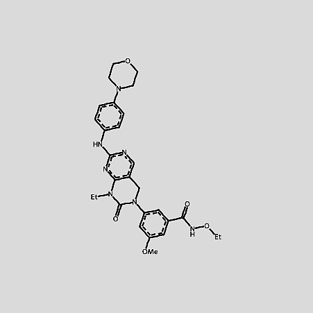 CCONC(=O)c1cc(OC)cc(N2Cc3cnc(Nc4ccc(N5CCOCC5)cc4)nc3N(CC)C2=O)c1